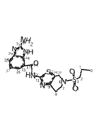 CCCS(=O)(=O)N1CCc2nc(NC(=O)c3cccc4nc(N)[nH]c34)sc2C1